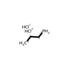 CCCP.Cl.Cl